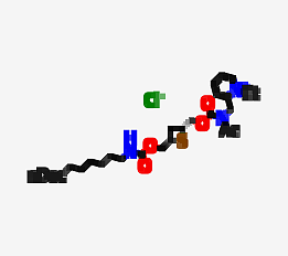 CCCCCCCCCCCCCCCCNC(=O)OC[C@H]1C[C@H](COC(=O)N(Cc2cccc[n+]2CC)C(C)=O)S1.[Cl-]